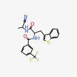 CC(C#N)NC(=O)C(Cc1csc2ccccc12)NC(=O)c1cccc(C(F)(F)F)c1